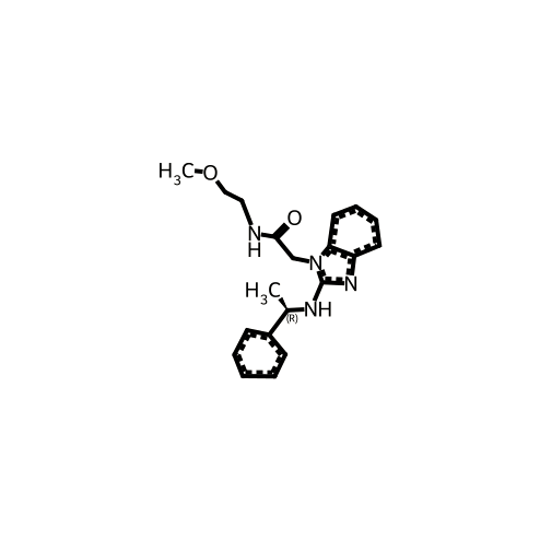 COCCNC(=O)Cn1c(N[C@H](C)c2ccccc2)nc2ccccc21